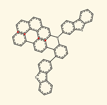 c1ccc(-c2ccc(-c3c(-c4ccc5sc6ccccc6c5c4)cccc3N(c3ccc4c(ccc5ccccc54)c3)c3ccc4c(c3)sc3ccccc34)cc2)cc1